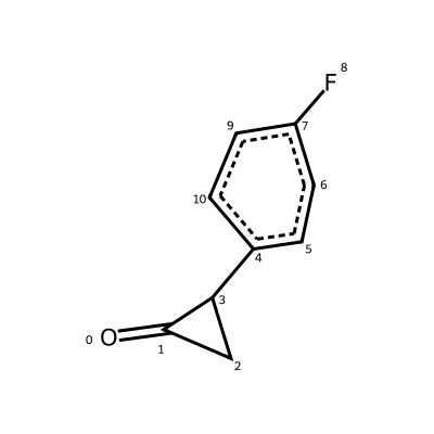 O=C1CC1c1ccc(F)cc1